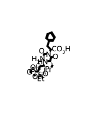 CC[S+]([O-])C(CCN[C@@H](CC(C)C)C(=O)N(C(N)=O)[C@@H](Cc1ccccc1)C(=O)O)P(=O)(O)O